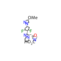 COc1cnn(-c2cc(F)c(-c3nc4cc(C)ccn4c3C[C@H]3CN(C(=O)O)CCO3)c(F)c2)c1